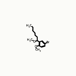 CCCCCCC(OC)c1cc(Br)ccc1OC